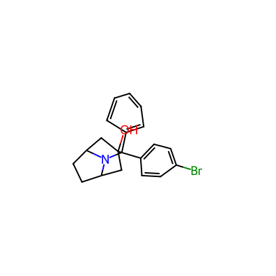 OC1(c2ccc(Br)cc2)CC2CCC(C1)N2Cc1ccccc1